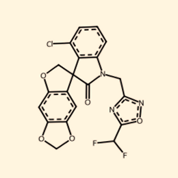 O=C1N(Cc2noc(C(F)F)n2)c2cccc(Cl)c2C12COc1cc3c(cc12)OCO3